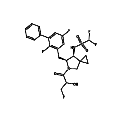 O=C(C(O)CF)N1CC2(CC2)[C@H](NS(=O)(=O)C(F)F)[C@@H]1Cc1cc(F)cc(-c2ccccc2)c1F